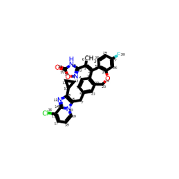 CC(=C1c2ccc(Cc3c(C4CC4)nc4c(Cl)cccn34)cc2COc2cc(F)ccc21)c1noc(=O)[nH]1